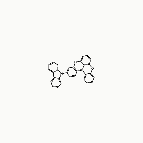 S=P12c3ccccc3Oc3cccc(c31)Oc1cc(-n3c4ccccc4c4ccccc43)ccc12